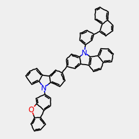 c1cc(-c2cccc3ccccc23)cc(-n2c3ccc(-c4ccc5c(c4)c4ccccc4n5-c4ccc5c(c4)oc4ccccc45)cc3c3ccc4ccccc4c32)c1